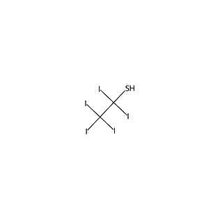 SC(I)(I)C(I)(I)I